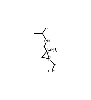 CC(C)NC[C@@]1(N)C[C@@H]1CO